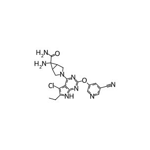 CCc1[nH]c2nc(Oc3cncc(C#N)c3)nc(N3CC4C(C3)C4(N)C(N)=O)c2c1Cl